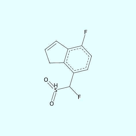 O=[SH](=O)C(F)c1ccc(F)c2c1CC=C2